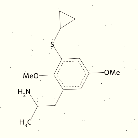 COc1cc(CC(C)N)c(OC)c(SC2CC2)c1